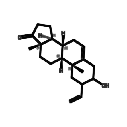 C=CC1C[C@@]2(C)C(=CC[C@@H]3[C@H]2CC[C@]2(C)C(=O)CC[C@@H]32)CC1O